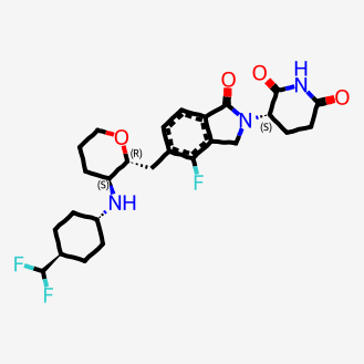 O=C1CC[C@H](N2Cc3c(ccc(C[C@H]4OCCC[C@@H]4N[C@H]4CC[C@H](C(F)F)CC4)c3F)C2=O)C(=O)N1